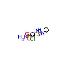 Cn1nc(-c2ccc(S(N)(=O)=O)c(Cl)c2)s/c1=N/C1CCCCC1